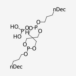 CCCCCCCCCCCCCOP1OCC2(CO1)COP(OCCCCCCCCCCCCC)OC2.OP(O)O